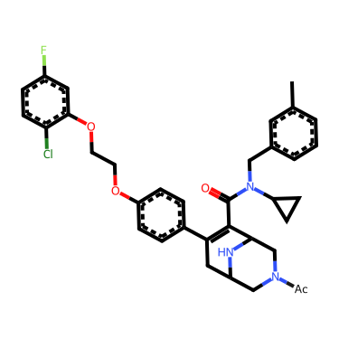 CC(=O)N1CC2CC(c3ccc(OCCOc4cc(F)ccc4Cl)cc3)=C(C(=O)N(Cc3cccc(C)c3)C3CC3)C(C1)N2